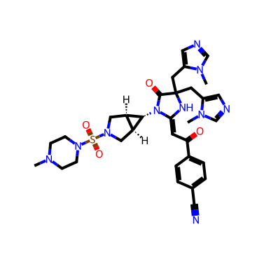 CN1CCN(S(=O)(=O)N2C[C@@H]3[C@H](C2)[C@H]3N2C(=O)C(Cc3cncn3C)(Cc3cncn3C)N/C2=C\C(=O)c2ccc(C#N)cc2)CC1